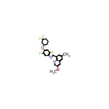 COc1cnc2c(-c3nc4cc(F)c(O[C@H]5[CH]CCC(F)(F)C5)cc4s3)cc(C)cc2c1